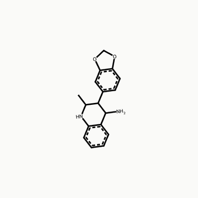 CC1Nc2ccccc2C(N)C1c1ccc2c(c1)OCO2